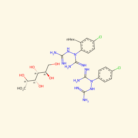 CCCCCCc1cc(Cl)ccc1N(NC(=N)N)C(=N)N.N=C(N)NN(C(=N)N)c1ccc(Cl)cc1.O=C(O)[C@H](O)[C@@H](O)[C@H](O)[C@H](O)CO